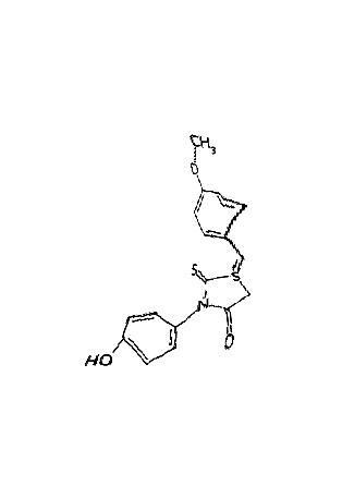 COc1ccc(/C=S2/CC(=O)N(c3ccc(O)cc3)C2=S)cc1